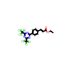 CCOC(=O)/C=C/c1ccc(-c2nc(C(Cl)(Cl)Cl)nc(C(Cl)(Cl)Cl)n2)cc1